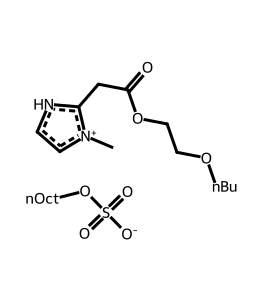 CCCCCCCCOS(=O)(=O)[O-].CCCCOCCOC(=O)Cc1[nH]cc[n+]1C